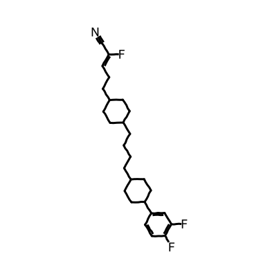 N#CC(F)=CCCC1CCC(CCCCC2CCC(c3ccc(F)c(F)c3)CC2)CC1